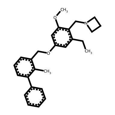 CCc1cc(OCc2cccc(-c3ccccc3)c2C)cc(OC)c1CN1CCC1